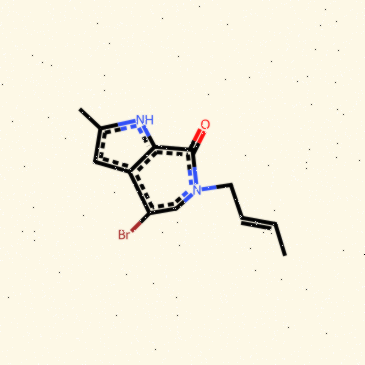 CC=CCn1cc(Br)c2cc(C)[nH]c2c1=O